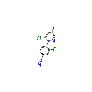 N#Cc1ccc(-c2ncc(I)cc2Cl)c(F)c1